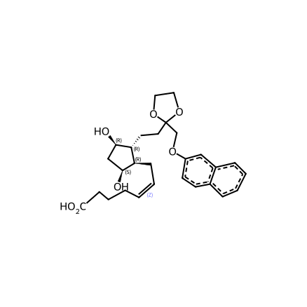 O=C(O)CCC/C=C\C[C@@H]1[C@@H](CCC2(COc3ccc4ccccc4c3)OCCO2)[C@H](O)C[C@@H]1O